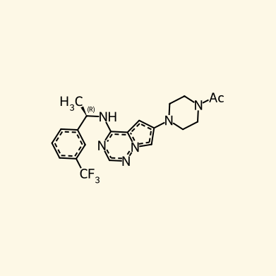 CC(=O)N1CCN(c2cc3c(N[C@H](C)c4cccc(C(F)(F)F)c4)ncnn3c2)CC1